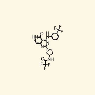 O=C(NC1CCN(c2nc(Nc3cccc(C(F)(F)F)c3)c3c(=O)[nH]ccc3n2)C1)C(F)(F)F